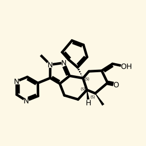 C[C@@H]1C(=O)C(=CO)C[C@]2(c3ccccc3)c3nn(C)c(-c4cncnc4)c3CC[C@@H]12